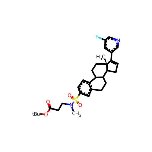 CN(CCC(=O)OC(C)(C)C)S(=O)(=O)c1ccc2c(c1)CCC1C2CC[C@]2(C)C(c3cncc(F)c3)=CCC12